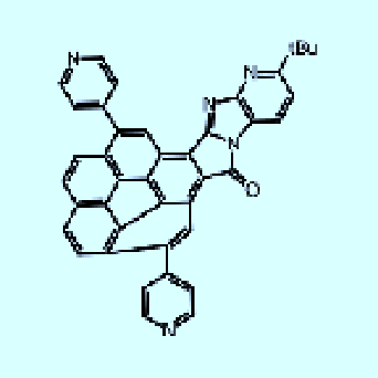 CC(C)(C)c1ccc2c(n1)nc1c3c4cc(-c5ccncc5)c5ccc6ccc7c(-c8ccncc8)cc(c3c(=O)n21)c1c7c6c5c41